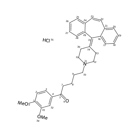 COc1ccc(C(=O)CCCCN2CCC(=C3c4ccccc4C=Cc4ccccc43)CC2)cc1OC.Cl